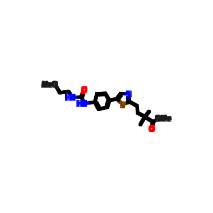 COCCNC(=O)Nc1ccc(-c2cnc(CCC(C)(C)C(=O)OC)s2)cc1